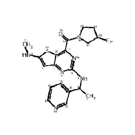 CNc1cc2nc(NC(C)c3cccnc3)nc(C(=O)N3CCC(F)C3)c2s1